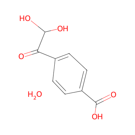 O.O=C(O)c1ccc(C(=O)C(O)O)cc1